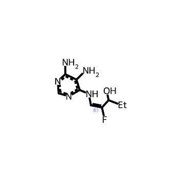 CCC(O)/C(F)=C\Nc1ncnc(N)c1N